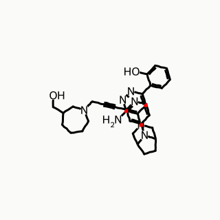 Nc1nnc(-c2ccccc2O)cc1N1CC2CCC(C1)N2c1ccnc(C#CCN2CCCCC(CO)C2)c1